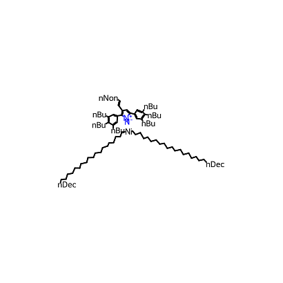 CCCCCCCCCC=CC1=C(c2cc(CCCC)c(CCCC)c(CCCC)c2)[N+](=[N-])C(c2cc(CCCC)c(CCCC)c(CCCC)c2)=C1.CCCCCCCCCCCCCCCCCCCCCCCCCCCC[CH2][Ni][CH2]CCCCCCCCCCCCCCCCCCCCCCCCCCCC